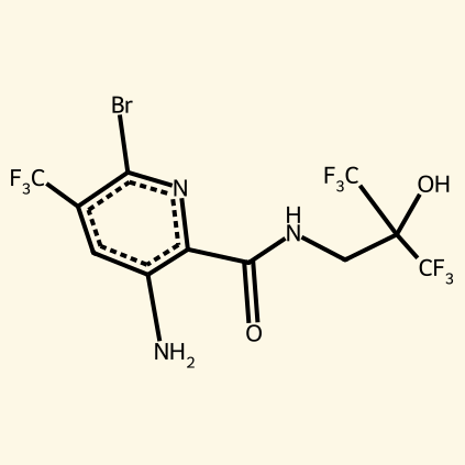 Nc1cc(C(F)(F)F)c(Br)nc1C(=O)NCC(O)(C(F)(F)F)C(F)(F)F